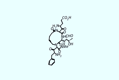 CNC(=O)C(C(=O)[C@@H](N)Cc1ccccc1)N1CC=CCCC(=O)NC(C(=O)[C@@H](N)CCC(=O)O)C(=O)NC(N[C@H](C=O)[C@@H](C)O)C1=O